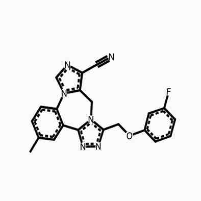 Cc1ccc2c(c1)-c1nnc(COc3cccc(F)c3)n1Cc1c(C#N)ncn1-2